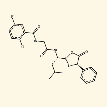 CC(C)C[C@H](NC(=O)CNC(=O)c1cc(Br)ccc1Cl)B1OC(=O)[C@@H](c2ccccc2)O1